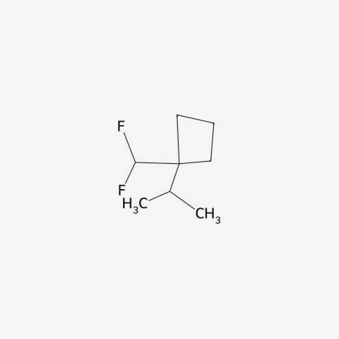 CC(C)C1(C(F)F)CCC1